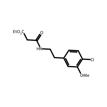 CCOC(=O)CC(=O)NCCc1ccc(Cl)c(OC)c1